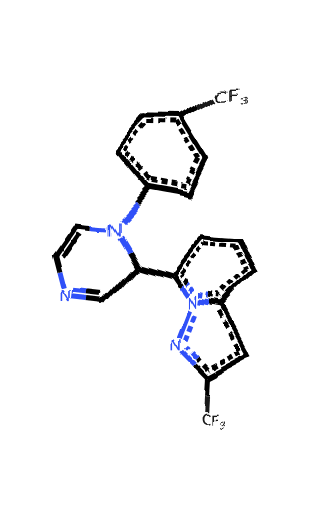 FC(F)(F)c1ccc(N2C=CN=CC2c2cccc3cc(C(F)(F)F)nn23)cc1